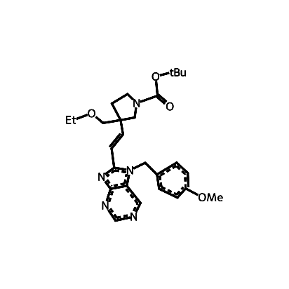 CCOCC1(C=Cc2nc3ncncc3n2Cc2ccc(OC)cc2)CCN(C(=O)OC(C)(C)C)C1